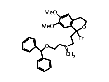 CCC1(CCN(C)CCOC(c2ccccc2)c2ccccc2)OCCc2cc(OC)c(OC)cc21